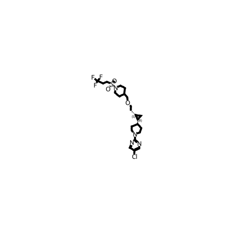 O=S(=O)(CCC(F)(F)F)N1CCC(COCC[C@@H]2C[C@@H]2C2CCN(c3ncc(Cl)cn3)CC2)CC1